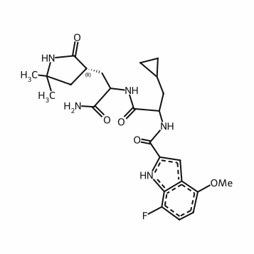 COc1ccc(F)c2[nH]c(C(=O)NC(CC3CC3)C(=O)NC(C[C@@H]3CC(C)(C)NC3=O)C(N)=O)cc12